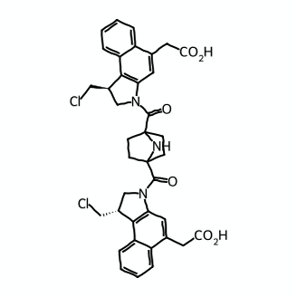 O=C(O)Cc1cc2c(c3ccccc13)[C@H](CCl)CN2C(=O)C12CCC(C(=O)N3C[C@@H](CCl)c4c3cc(CC(=O)O)c3ccccc43)(CC1)N2